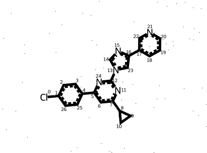 Clc1ccc(-c2cc(C3CC3)nc(-n3cnc(-c4cccnc4)c3)n2)cc1